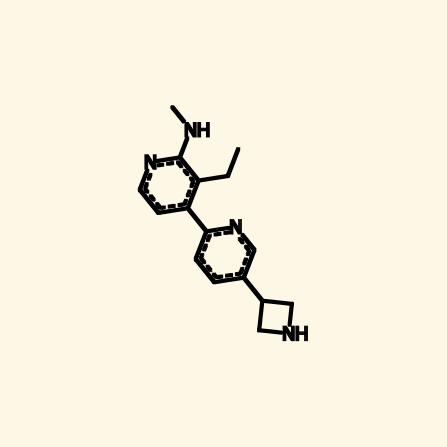 CCc1c(-c2ccc(C3CNC3)cn2)ccnc1NC